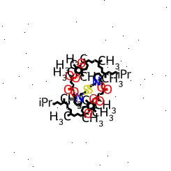 Cc1c(C)c2c(c(C)c1OC(=O)CCC(=O)OCC1CCCCN1CCSSCCN1CCCCC1COC(=O)CCC(=O)Oc1c(C)c(C)c3c(c1C)CCC(C)(CCCC(C)CCCC(C)CCCC(C)C)O3)CCC(C)(CCCC(C)CCCC(C)CCCC(C)C)O2